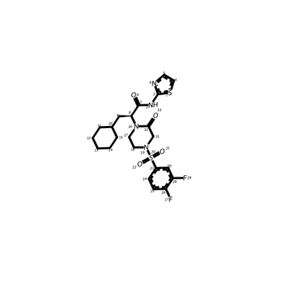 O=C(Nc1nccs1)[C@H](CC1CCCCC1)N1CCN(S(=O)(=O)c2ccc(F)c(F)c2)CC1=O